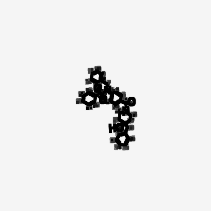 O=C(c1ccc(N(Cc2ccccc2)S(=O)(=O)c2ccccc2)cc1)N1CCC(O)(Cc2ccccc2)CC1